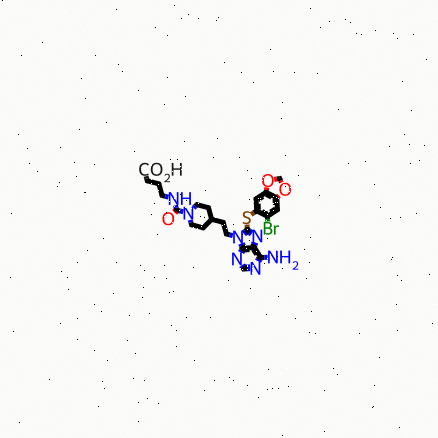 Nc1ncnc2c1nc(Sc1cc3c(cc1Br)OCO3)n2CCC1CCN(C(=O)NCCCC(=O)O)CC1